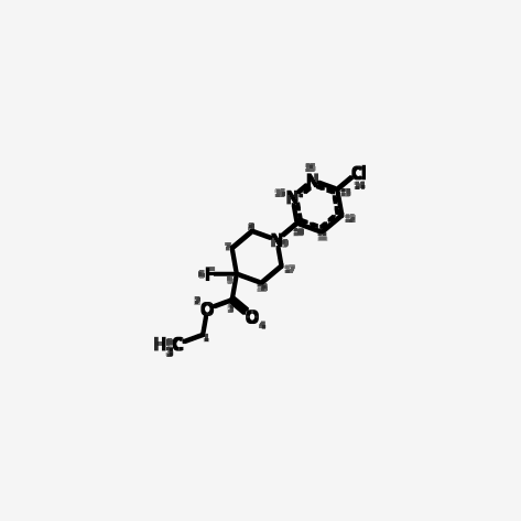 CCOC(=O)C1(F)CCN(c2ccc(Cl)nn2)CC1